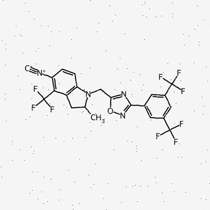 [C-]#[N+]c1ccc2c(c1C(F)(F)F)CC(C)N2Cc1nc(-c2cc(C(F)(F)F)cc(C(F)(F)F)c2)no1